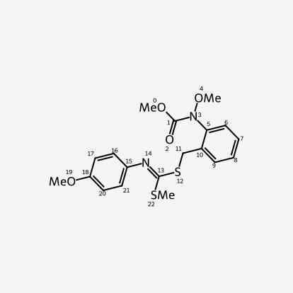 COC(=O)N(OC)c1ccccc1CSC(=Nc1ccc(OC)cc1)SC